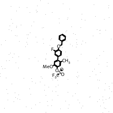 COc1cc(-c2ccc(OCc3ccccc3)c(F)c2)c(C)cc1OS(=O)(=O)C(F)(F)F